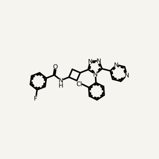 O=C(NC1CC(c2nnc(-c3ccncn3)n2-c2ccccc2Cl)C1)c1cccc(F)c1